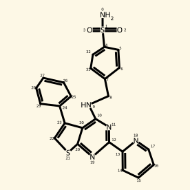 NS(=O)(=O)c1ccc(CNc2nc(-c3ccccn3)nc3scc(-c4ccccc4)c23)cc1